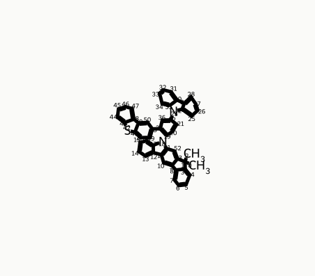 CC1(C)c2ccccc2-c2cc3c4ccccc4n(-c4ccc(-n5c6ccccc6c6ccccc65)cc4-c4ccc5sc6ccccc6c5c4)c3cc21